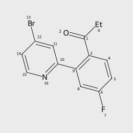 CCC(=O)c1ccc(F)cc1-c1cc(Br)ccn1